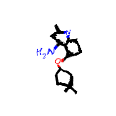 Cc1cc(N)c2c(OC3CCC(C)(C)CC3)cccc2n1